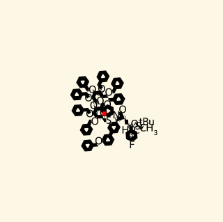 CC(C)(C)[Si](C)(C)O[C@@H](CC[C@H]1C(=O)N(c2ccccc2)[C@@H]1c1ccc(-c2cccc(OCc3ccccc3)c2)cc1SC[C@@H]1OC(COCc2ccccc2)[C@@H](O[C@@H]2OC(COCc3ccccc3)[C@@H](OCc3ccccc3)[C@@H](OCc3ccccc3)C2OCc2ccccc2)[C@@H](OCc2ccccc2)C1OCc1ccccc1)c1ccc(F)cc1